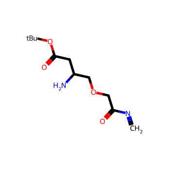 C=NC(=O)COCC(N)CC(=O)OC(C)(C)C